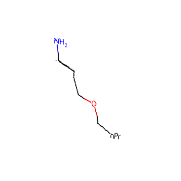 CCCCOCC[CH]N